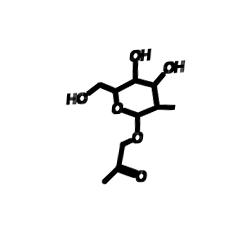 CC(=O)COC1OC(CO)C(O)C(O)C1C